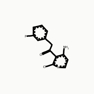 Nc1ccnc(Cl)c1C(=O)Cc1cccc(F)c1